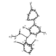 NNC(=O)C(c1nc(N)nc(-c2ccc(F)cc2)c1Br)c1c(F)cccc1F